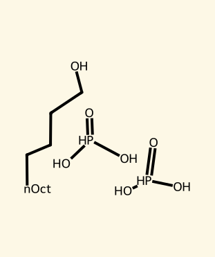 CCCCCCCCCCCCO.O=[PH](O)O.O=[PH](O)O